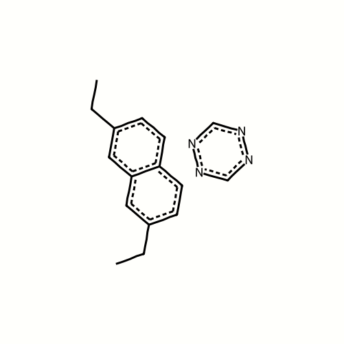 CCc1ccc2ccc(CC)cc2c1.c1nncnn1